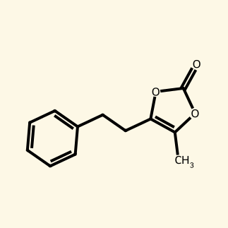 Cc1oc(=O)oc1CCc1ccccc1